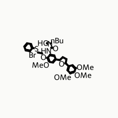 CCCCN(O)C(=O)Nc1cc(C2CCC(c3cc(OC)c(OC)c(OC)c3)O2)cc(OC)c1OCCSc1ccccc1Br